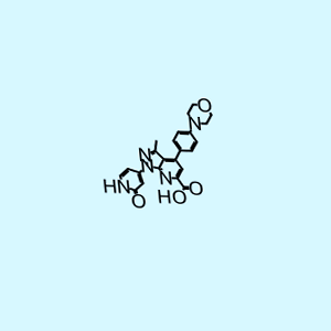 Cc1nn(-c2cc[nH]c(=O)c2)c2nc(C(=O)O)cc(-c3ccc(N4CCOCC4)cc3)c12